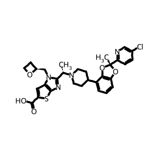 C[C@@H](c1nc2sc(C(=O)O)cc2n1C[C@@H]1CCO1)N1CCC(c2cccc3c2O[C@](C)(c2ccc(Cl)cn2)O3)CC1